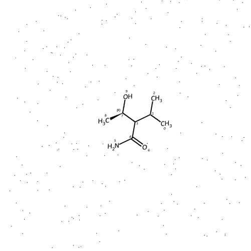 CC(C)C(C(N)=O)[C@@H](C)O